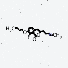 C=CCCOc1ccc2cc(CC/C=C/C)oc(=O)c2c1F